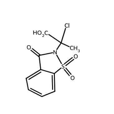 CC(Cl)(C(=O)O)N1C(=O)c2ccccc2S1(=O)=O